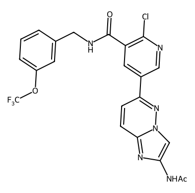 CC(=O)Nc1cn2nc(-c3cnc(Cl)c(C(=O)NCc4cccc(OC(F)(F)F)c4)c3)ccc2n1